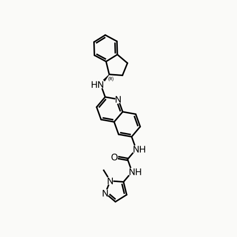 Cn1nccc1NC(=O)Nc1ccc2nc(N[C@@H]3CCc4ccccc43)ccc2c1